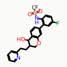 O=S(=O)(Nc1ccc(F)cc1-c1ccc2c(c1)OCC(CCc1ccccn1)C2O)C(F)(F)F